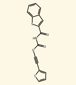 O=C(NC(=O)c1cc2ccccc2s1)OC#Cc1cccs1